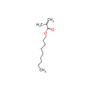 C=C(C)C(=O)OCCC[CH]CCCCC